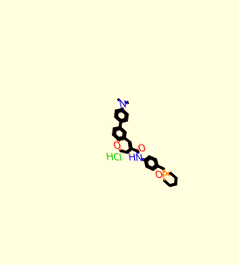 CN(C)c1ccc(-c2ccc3c(c2)C=C(C(=O)Nc2ccc(CP4(=O)CCCCC4)cc2)CCO3)cc1.Cl